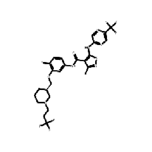 Cc1nsc(Nc2cnc(C(F)(F)F)cn2)c1C(=O)Nc1ccc(F)c(OC[C@@H]2CCCN(CCC(F)(F)F)C2)c1